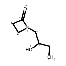 CCC(O)CN1CCC1=O